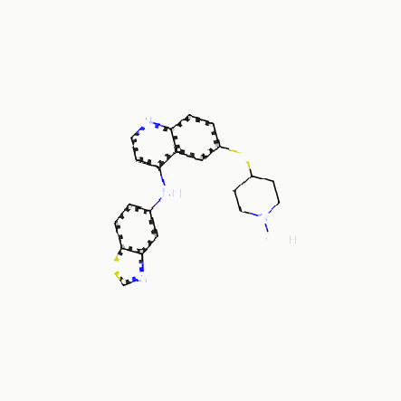 O=C(O)N1CCC(Sc2ccc3nccc(Nc4ccc5scnc5c4)c3c2)CC1